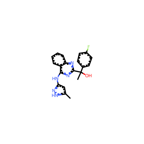 Cc1cc(Nc2nc(C(C)(O)c3ccc(F)cc3)nc3ccccc23)n[nH]1